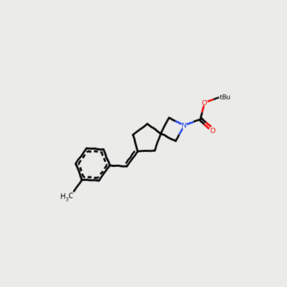 Cc1cccc(C=C2CCC3(C2)CN(C(=O)OC(C)(C)C)C3)c1